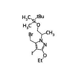 CCOc1nn(C(C)CO[Si](C)(C)C(C)(C)C)c(CBr)c1I